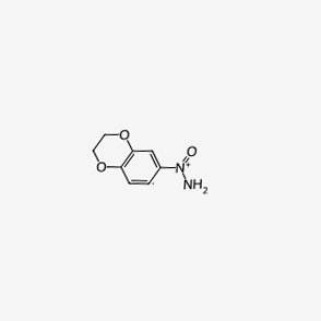 N[N+](=O)c1[c]cc2c(c1)OCCO2